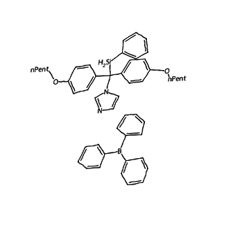 CCCCCOc1ccc(C([SiH2]c2ccccc2)(c2ccc(OCCCCC)cc2)n2ccnc2)cc1.c1ccc(B(c2ccccc2)c2ccccc2)cc1